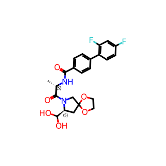 C[C@H](NC(=O)c1ccc(-c2ccc(F)cc2F)cc1)C(=O)N1CC2(C[C@H]1C(O)O)OCCO2